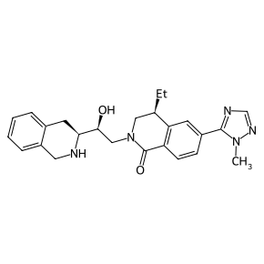 CC[C@@H]1CN(C[C@H](O)[C@@H]2Cc3ccccc3CN2)C(=O)c2ccc(-c3ncnn3C)cc21